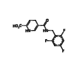 O=C(O)C1=CCC(C(=O)NCc2c(F)cc(F)cc2F)=CN1